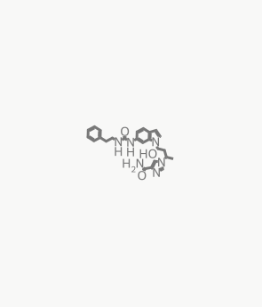 CC(CC(O)n1ccc2ccc(NC(=O)NCCc3ccccc3)cc21)n1cnc(C(N)=O)c1